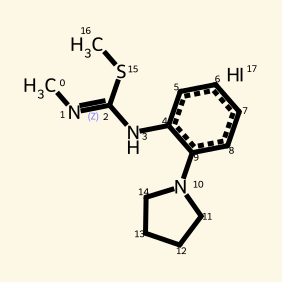 C/N=C(/Nc1ccccc1N1CCCC1)SC.I